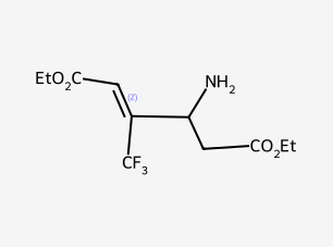 CCOC(=O)/C=C(/C(N)CC(=O)OCC)C(F)(F)F